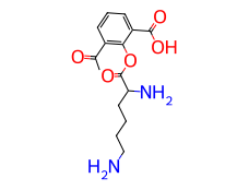 CC(=O)c1cccc(C(=O)O)c1OC(=O)C(N)CCCCN